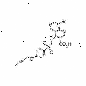 CC#CCOc1ccc(S(=O)(=O)CNc2c(C(=O)O)cnc3c(Br)cccc23)cc1